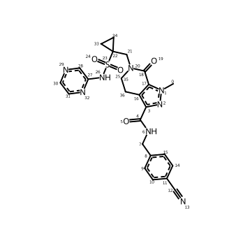 Cn1nc(C(=O)NCc2ccc(C#N)cc2)c2c1C(=O)N(CC1(S(=O)(=O)Nc3cnccn3)CC1)CC2